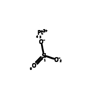 O=[Si]([O-])[O-].[Pt+2]